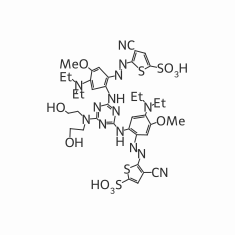 CCN(CC)c1cc(Nc2nc(Nc3cc(N(CC)CC)c(OC)cc3/N=N/c3sc(S(=O)(=O)O)cc3C#N)nc(N(CCO)CCO)n2)c(/N=N/c2sc(S(=O)(=O)O)cc2C#N)cc1OC